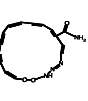 NC(=O)c1cccccccccccoo[nH]nncc1